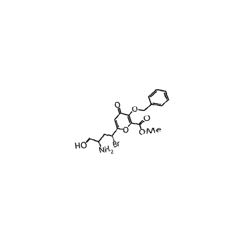 COC(=O)c1oc(C(Br)CC(N)CO)cc(=O)c1OCc1ccccc1